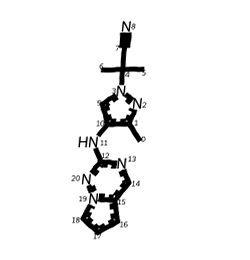 Cc1nn(C(C)(C)C#N)cc1Nc1ncc2cccn2n1